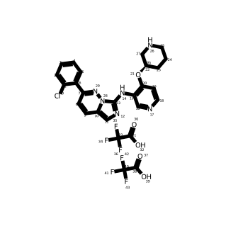 Clc1ccccc1-c1ccc2cnc(Nc3cnccc3O[C@@H]3CCCNC3)n2n1.O=C(O)C(F)(F)F.O=C(O)C(F)(F)F